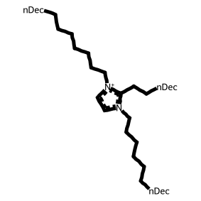 CCCCCCCCCCCCCCCCC[n+]1ccn(CCCCCCCCCCCCCCCC)c1CCCCCCCCCCCC